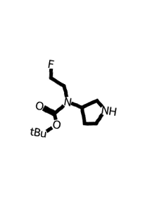 CC(C)(C)OC(=O)N(CCF)C1CCNC1